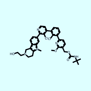 COc1nc(-c2cccc(-c3ccnc(-c4ccc5c6c(n(C)c5c4)CCN(CCO)C6)c3Cl)c2Cl)ccc1COC(=O)NC(C)(C)C